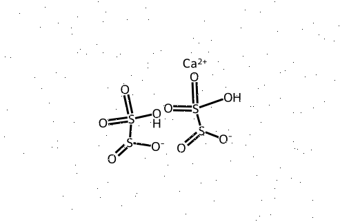 O=S([O-])S(=O)(=O)O.O=S([O-])S(=O)(=O)O.[Ca+2]